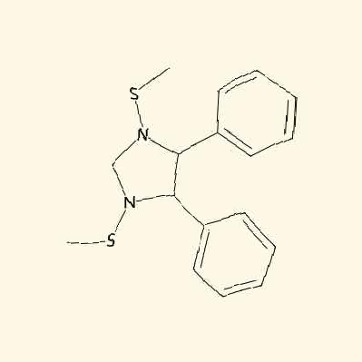 CSN1CN(SC)C(c2ccccc2)C1c1ccccc1